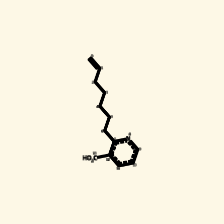 C=CCCCCCc1ncccc1C(=O)O